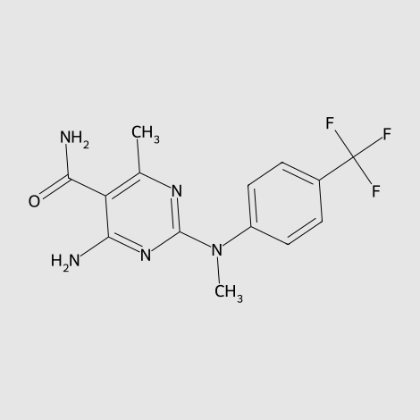 Cc1nc(N(C)c2ccc(C(F)(F)F)cc2)nc(N)c1C(N)=O